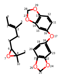 CC=C(C)CCC1OC1(C)C.c1cc2c(cc1Oc1ccc3c(c1)OCO3)OCO2